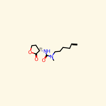 C=CCCCCN(C)C(=O)N[C@H]1CCOC1=O